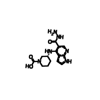 NNC(=O)c1cnc2[nH]ccc2c1N[C@@H]1CCCN(C(=O)O)C1